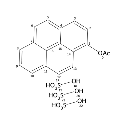 CC(=O)Oc1ccc2ccc3cccc4ccc1c2c34.O=S(=O)(O)O.O=S(=O)(O)O.O=S(=O)(O)O